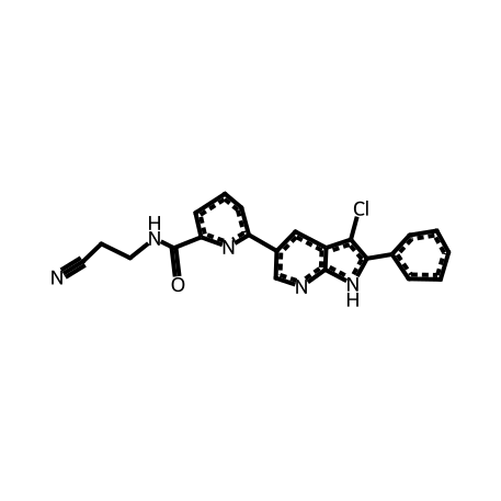 N#CCCNC(=O)c1cccc(-c2cnc3[nH]c(-c4ccccc4)c(Cl)c3c2)n1